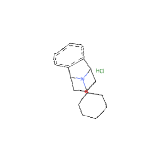 Cl.c1ccc2c(c1)C1CCCC2N1C1CCCCC1